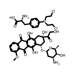 COc1cccc2c1C(=O)c1c(O)c3c(c(O)c1C2=O)C[C@@](O)(C(=O)CO)C[C@@H]3O[C@H]1C[C@H](N)[C@H](O)[C@H](C)O1.N[C@@H](Cc1ccc(N(CCCl)CCCl)cc1)C(=O)O